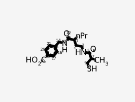 CCCC(CCNC(=O)C(C)CS)C(=O)NCc1ccc(C(=O)O)cc1